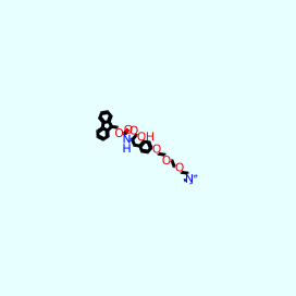 C[N+](C)(C)CCOCCOCCOc1ccc(CC(NC(=O)OCC2c3ccccc3-c3ccccc32)C(=O)O)cc1